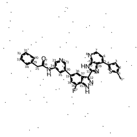 Cc1ccc(-c2ccnc3[nH]c(-c4n[nH]c5c(F)cc(-c6cncc(NC(=O)Cc7ccccc7)c6)cc45)nc23)s1